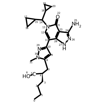 CCCC[C@@H](CO)Cc1cc(-c2cn(C(C3CC3)C3CC3)c(=O)c3c(N)n[nH]c23)nn1C